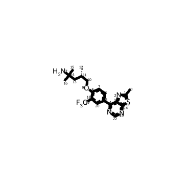 Cc1nc2c(-c3ccc(OC[C@@H](C)CC(C)(C)N)c(C(F)(F)F)c3)ncnc2s1